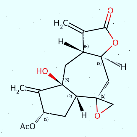 C=C1C(=O)O[C@H]2C[C@@]3(CO3)[C@@H]3C[C@H](OC(C)=O)C(=C)[C@]3(O)C[C@H]12